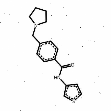 O=C(Nc1ccsc1)c1ccc(CN2CCCC2)cc1